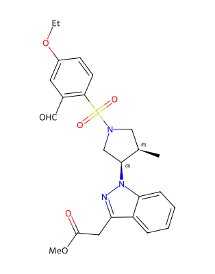 CCOc1ccc(S(=O)(=O)N2C[C@@H](C)[C@@H](n3nc(CC(=O)OC)c4ccccc43)C2)c(C=O)c1